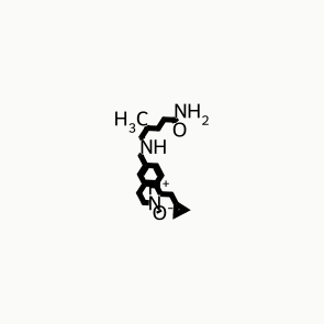 CC(CCC(N)=O)CNCc1ccc2c(c1)CC[NH+]([O-])C2CC1CC1